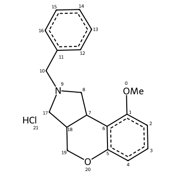 COc1cccc2c1C1CN(Cc3ccccc3)CC1CO2.Cl